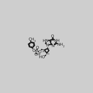 Cc1ccc(OP(=O)(O)OC[C@@H]2[C@@H](CO)C[C@H]2N2CNc3c2nc(N)[nH]c3=O)cc1